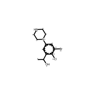 CC(O)c1cc(N2CCNCC2)cc(Br)c1Cl